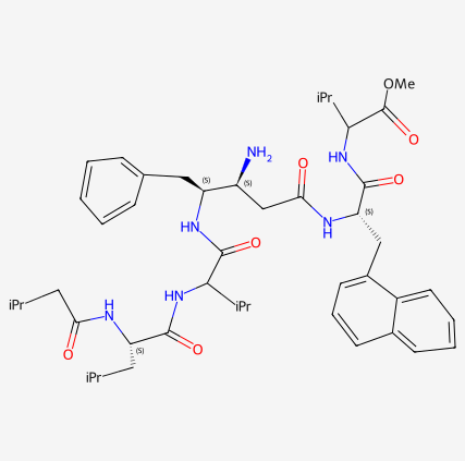 COC(=O)C(NC(=O)[C@H](Cc1cccc2ccccc12)NC(=O)C[C@H](N)[C@H](Cc1ccccc1)NC(=O)C(NC(=O)[C@H](CC(C)C)NC(=O)CC(C)C)C(C)C)C(C)C